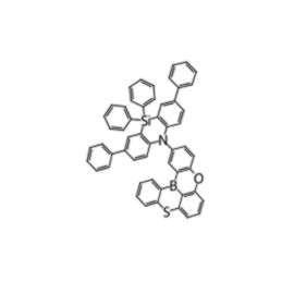 c1ccc(-c2ccc3c(c2)[Si](c2ccccc2)(c2ccccc2)c2cc(-c4ccccc4)ccc2N3c2ccc3c(c2)B2c4ccccc4Sc4cccc(c42)O3)cc1